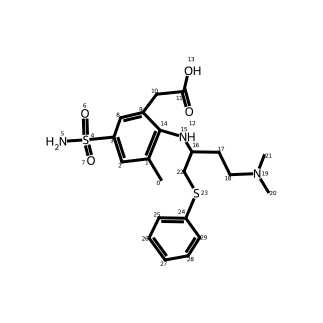 Cc1cc(S(N)(=O)=O)cc(CC(=O)O)c1NC(CCN(C)C)CSc1ccccc1